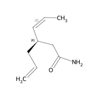 C=CC[C@@H](/C=C\C)CC(N)=O